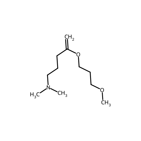 C=C(CCCN(C)C)OCCCOC